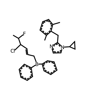 CC(F)C(Cl)C=CCB(c1ccccc1)c1ccccc1.Cc1cccc(C)c1Cc1nccn1C1CC1